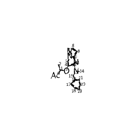 CC(=O)C(C)Oc1cn2nccc2nc1N(C)Cc1ccccc1